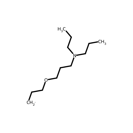 [CH2]CCOCCCN(CCC)CCC